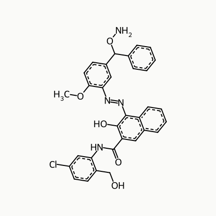 COc1ccc(C(ON)c2ccccc2)cc1N=Nc1c(O)c(C(=O)Nc2cc(Cl)ccc2CO)cc2ccccc12